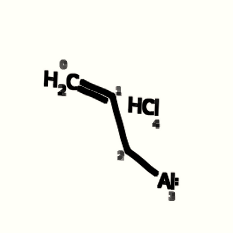 C=C[CH2][Al].Cl